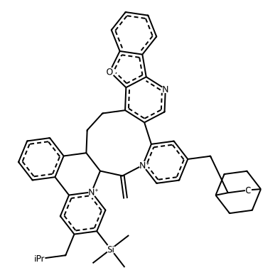 C=C1C2C(CCc3c(cnc4c3oc3ccccc34)-c3cc(CC4CC5CCC4CC5)cc[n+]31)c1ccccc1-c1cc(CC(C)C)c([Si](C)(C)C)c[n+]12